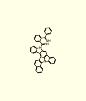 N=C(c1ccccc1)c1ccccc1C(=N)n1c2ccccc2c2c3c4ccc5ccccc5c4n4c5ccccc5c(cc21)c34